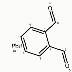 O=Cc1ccccc1C=O.[PbH2]